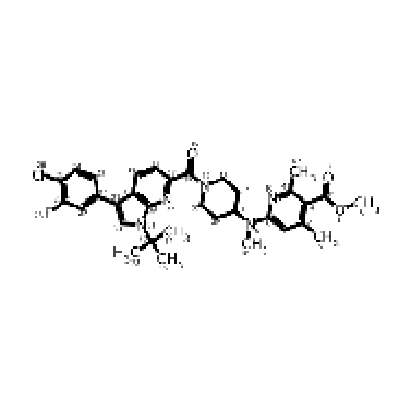 COC(=O)c1c(C)cc(N(C)C2CCN(C(=O)c3ccc4c(-c5ccc(Cl)c(F)c5)cn(C(C)(C)C)c4n3)CC2)nc1C